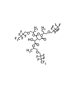 CC(COCC(F)(F)C(F)(F)C(F)(F)I)OC(=O)CC(C(=O)OC(C)COCC(F)(F)C(F)(F)C(F)(F)F)C(O)C(=O)OC(C)COCC(F)(F)C(F)(F)C(F)(F)F